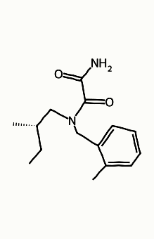 CC[C@H](C)CN(Cc1ccccc1C)C(=O)C(N)=O